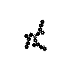 c1cc(-c2nc(-c3ccc(-n4c5ccccc5c5cc(-c6ccc7c(c6)oc6ccccc67)ccc54)cc3)nc(-c3ccc(-n4c5ccccc5c5cc(-c6ccc7c(c6)oc6ccccc67)ccc54)cc3)n2)cc(-n2c3ccccc3c3cc(-c4ccc5c(c4)oc4ccccc45)ccc32)c1